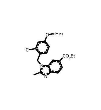 CCCCCCOc1ccc(Cn2c(C)nc3ccc(C(=O)OCC)cc32)c(Cl)c1